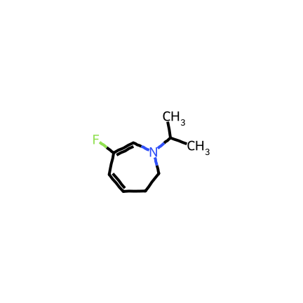 CC(C)N1C=C(F)C=CCC1